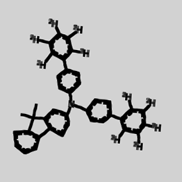 [2H]c1c([2H])c([2H])c(-c2ccc(N(c3ccc(-c4c([2H])c([2H])c([2H])c([2H])c4[2H])cc3)c3ccc4c(c3)C(C)(C)c3ccccc3-4)cc2)c([2H])c1[2H]